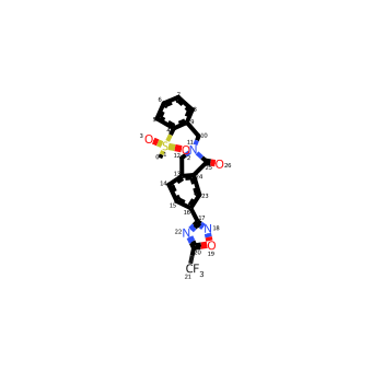 CS(=O)(=O)c1ccccc1CN1Cc2ccc(-c3noc(C(F)(F)F)n3)cc2C1=O